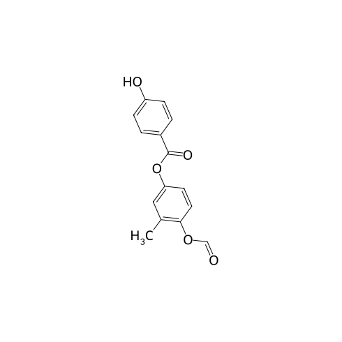 Cc1cc(OC(=O)c2ccc(O)cc2)ccc1OC=O